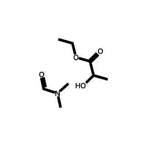 CCOC(=O)C(C)O.CN(C)C=O